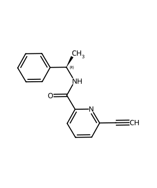 C#Cc1cccc(C(=O)N[C@H](C)c2ccccc2)n1